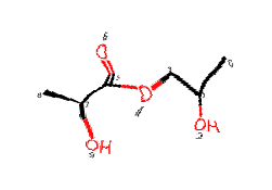 CC(O)COC(=O)[C@H](C)O